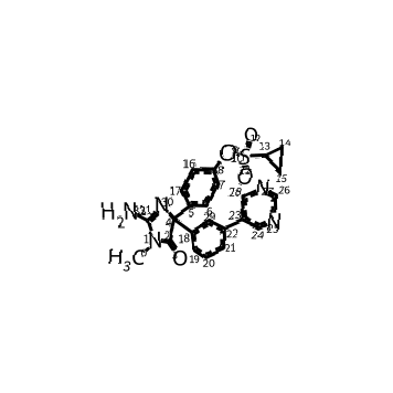 CN1C(=O)C(c2ccc(OS(=O)(=O)C3CC3)cc2)(c2cccc(-c3cncnc3)c2)N=C1N